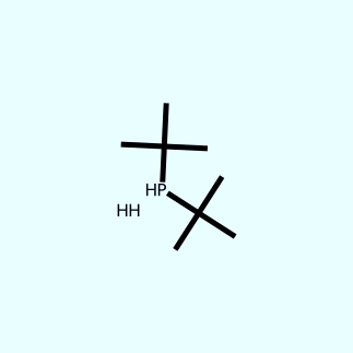 CC(C)(C)PC(C)(C)C.[HH]